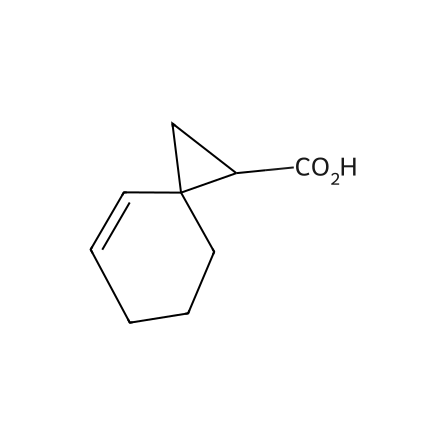 O=C(O)C1CC12C=CCCC2